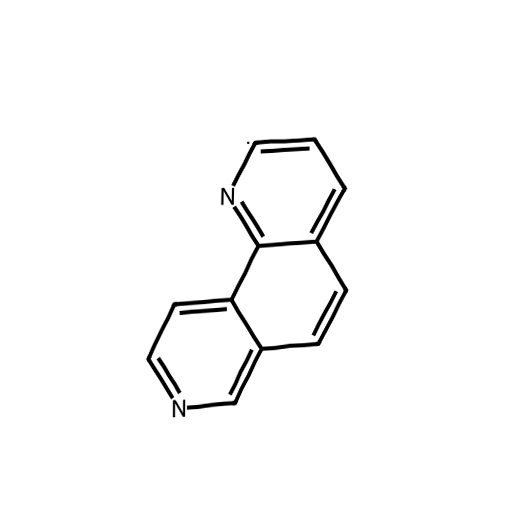 [c]1ccc2ccc3cnccc3c2n1